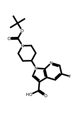 CC(C)(C)OC(=O)N1CCC(n2cc(C(=O)O)c3cc(F)cnc32)CC1